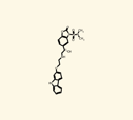 CN(C)S(=O)(=O)n1c(=O)oc2ccc([C@H](O)CNCCOc3ccc4c(c3)[nH]c3ccccc34)cc21